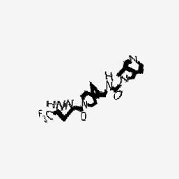 O=C(NCC1CC12CCN(C(=O)c1cc(C(F)(F)F)[nH]n1)CC2)N1Cc2ccncc2C1